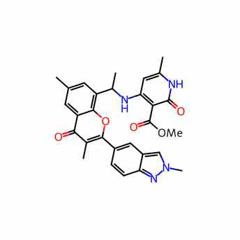 COC(=O)c1c(NC(C)c2cc(C)cc3c(=O)c(C)c(-c4ccc5nn(C)cc5c4)oc23)cc(C)[nH]c1=O